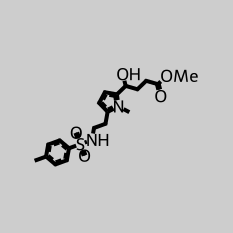 COC(=O)CCC(O)c1ccc(CCNS(=O)(=O)c2ccc(C)cc2)n1C